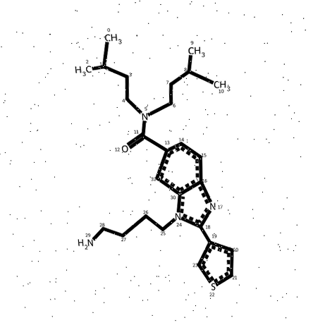 CC(C)CCN(CCC(C)C)C(=O)c1ccc2nc(-c3ccsc3)n(CCCCN)c2c1